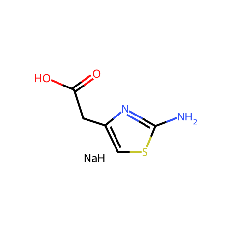 Nc1nc(CC(=O)O)cs1.[NaH]